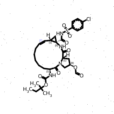 CCC(C)(C)OC(=O)N[C@H]1CCCCC/C=C\[C@@H]2C[C@@]2(C(=O)NS(=O)(=O)c2ccc(Cl)cc2)NC(=O)[C@@H]2C[C@@H](OC=O)CN2C1=O